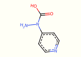 NN(C(=O)O)c1ccncc1